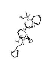 CC(C)(C)[Si](C)(C)Oc1ccccc1NC(=O)[C@@H]1CC[C@H]2CN1C(=O)N2OCc1ccccc1